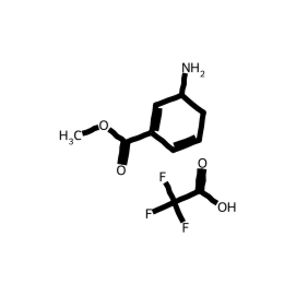 COC(=O)C1=CC(N)CC=C1.O=C(O)C(F)(F)F